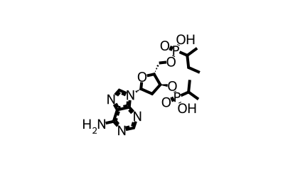 CCC(C)P(=O)(O)OC[C@H]1O[C@@H](n2cnc3c(N)ncnc32)C[C@@H]1OP(=O)(O)C(C)C